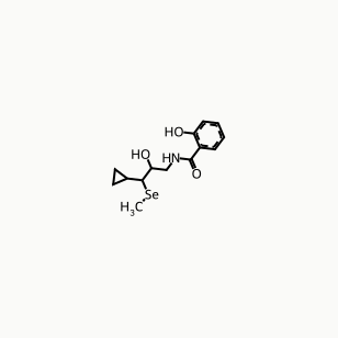 C[Se]C(C(O)CNC(=O)c1ccccc1O)C1CC1